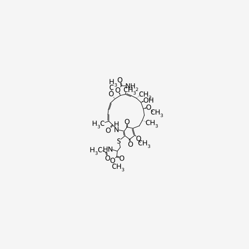 COC(=O)C(CSC1=C2NC(=O)C(C)=CC=C[C@H](OC)[C@@H](OC(N)=O)C(C)=C[C@H](C)[C@@H](O)[C@@H](OC)C[C@H](C)CC(=C(OC)C1=O)C2=O)NC(C)=O